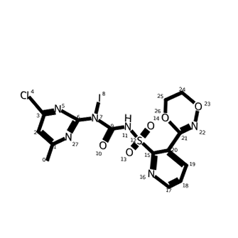 Cc1cc(Cl)nc(N(I)C(=O)NS(=O)(=O)c2ncccc2C2=NOCCO2)n1